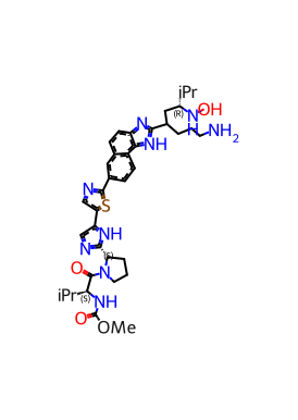 COC(=O)N[C@H](C(=O)N1CCC[C@H]1c1ncc(-c2cnc(-c3ccc4c(ccc5nc(C(CCCN)C[C@@H](NO)C(C)C)[nH]c54)c3)s2)[nH]1)C(C)C